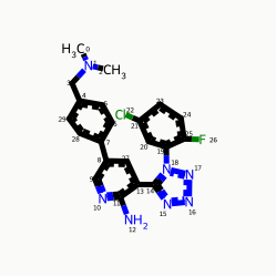 CN(C)Cc1ccc(-c2cnc(N)c(-c3nnnn3-c3cc(Cl)ccc3F)c2)cc1